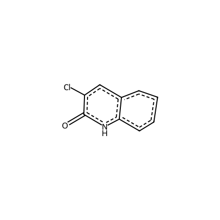 O=c1[nH]c2ccccc2cc1Cl